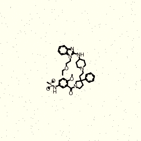 CCOCCn1c(NC2CCN(CCC3(c4ccccc4)CCN(C(=O)c4cc(NS(C)(=O)=O)ccc4OC)C3)CC2)nc2ccccc21